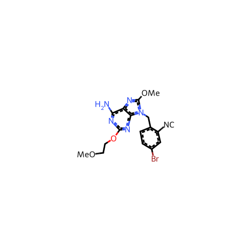 [C-]#[N+]c1cc(Br)ccc1Cn1c(OC)nc2c(N)nc(OCCOC)nc21